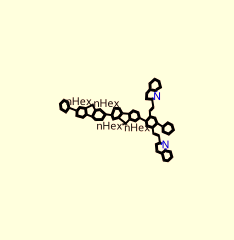 CCCCCCC1(CCCCCC)c2cc(-c3ccccc3)ccc2-c2ccc(-c3ccc4c(c3)C(CCCCCC)(CCCCCC)c3cc(-c5cc(/C=C/c6ccc7ccccc7n6)c(-c6ccccc6)cc5/C=C/c5ccc6ccccc6n5)ccc3-4)cc21